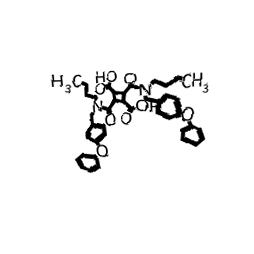 CCCCN(Cc1ccc(Oc2ccccc2)cc1)C(=O)C1C(C(=O)O)C(C(=O)N(CCCC)Cc2ccc(Oc3ccccc3)cc2)C1C(=O)O